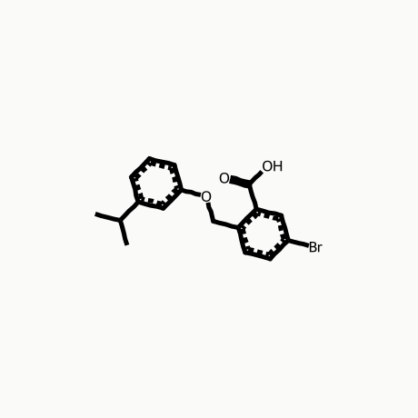 CC(C)c1cccc(OCc2ccc(Br)cc2C(=O)O)c1